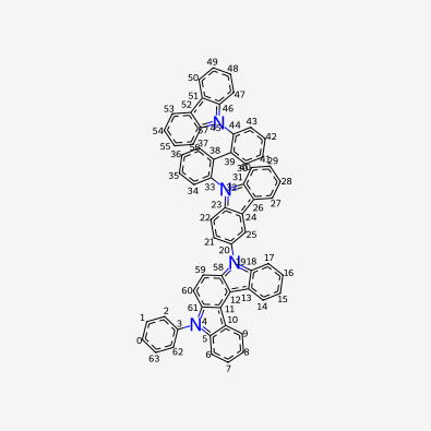 c1ccc(-n2c3ccccc3c3c4c5ccccc5n(-c5ccc6c(c5)c5ccccc5n6-c5ccccc5-c5ccccc5-n5c6ccccc6c6ccccc65)c4ccc32)cc1